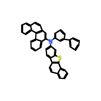 c1ccc(-c2cccc(N(c3ccc4c(c3)sc3c5ccccc5ccc43)c3cc4ccc5ccccc5c4c4ccccc34)c2)cc1